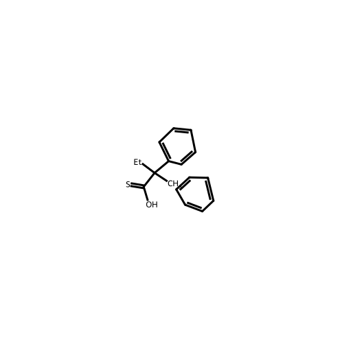 CCC(C)(C(O)=S)c1ccccc1.c1ccccc1